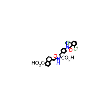 O=C(C=C1CCCc2c(C(=O)O)cccc21)N[C@@H](Cc1ccc(NC(=O)c2c(Cl)cccc2Cl)cc1)C(=O)O